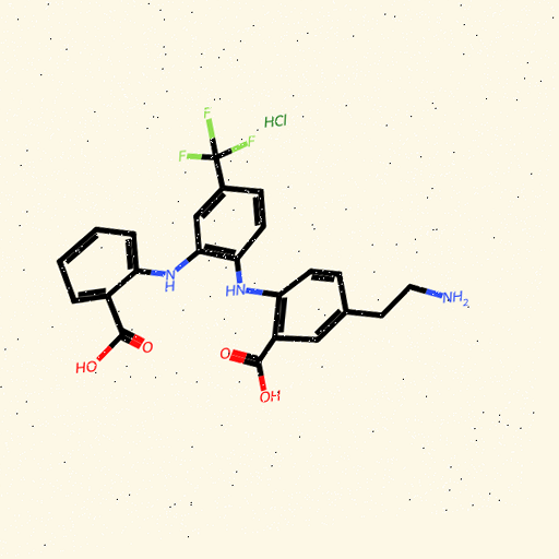 Cl.NCCc1ccc(Nc2ccc(C(F)(F)F)cc2Nc2ccccc2C(=O)O)c(C(=O)O)c1